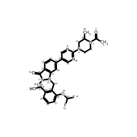 CC(=O)N1CCN(c2ncc(-c3ccc4c(=O)n(C)n(Cc5c(CO)cccc5OC(F)F)c4c3)cn2)CC1C